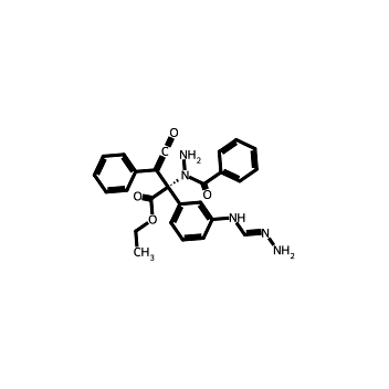 CCOC(=O)[C@@](C(=C=O)c1ccccc1)(c1cccc(NC=NN)c1)N(N)C(=O)c1ccccc1